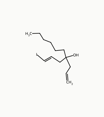 C=CCC(O)(CC=CI)CCCCCC